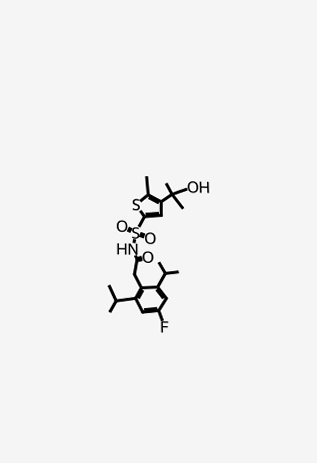 Cc1sc(S(=O)(=O)NC(=O)Cc2c(C(C)C)cc(F)cc2C(C)C)cc1C(C)(C)O